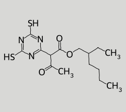 CCCCC(CC)COC(=O)C(C(C)=O)c1nc(S)nc(S)n1